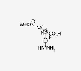 COC(=O)CCCN(C)c1nc(-c2ccc(C(=N)N)cc2F)c(C(=O)O)s1